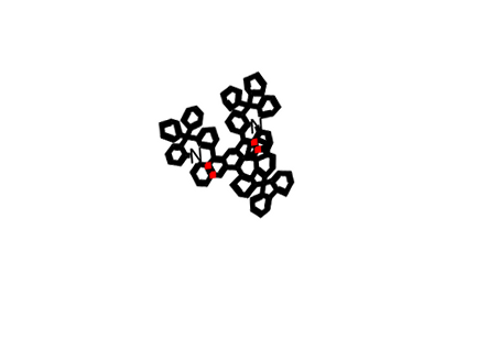 c1ccc(N2c3ccccc3C(c3ccccc3)(c3ccccc3)c3cccc(-c4cccc5c(-c6cccc7c6-c6c(ccc8ccccc68)C76c7ccccc7-c7ccccc76)c6cccc(-c7cccc8c7N(c7ccccc7)c7ccccc7C8(c7ccccc7)c7ccccc7)c6cc45)c32)cc1